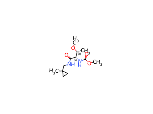 COC(=O)N[C@H](C(=O)NCC1(C)CC1)[C@@H](C)OC